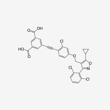 O=C(O)c1cc(C#Cc2ccc(OCc3c(-c4c(Cl)cccc4Cl)noc3C3CC3)cc2Cl)cc(C(=O)O)c1